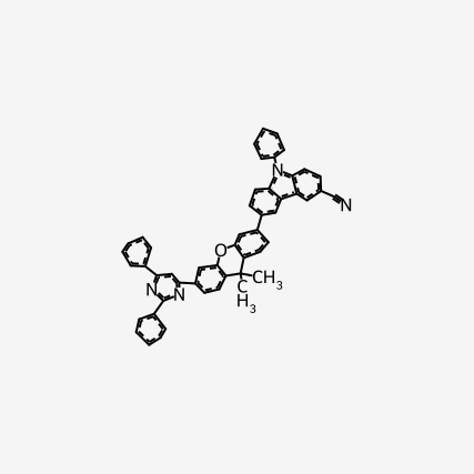 CC1(C)c2ccc(-c3ccc4c(c3)c3cc(C#N)ccc3n4-c3ccccc3)cc2Oc2cc(-c3cc(-c4ccccc4)nc(-c4ccccc4)n3)ccc21